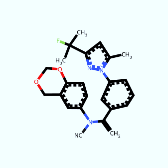 C=C(c1cccc(-n2nc(C(C)(C)F)cc2C)c1)N(C#N)c1ccc2c(c1)COCO2